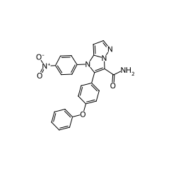 NC(=O)c1c(-c2ccc(Oc3ccccc3)cc2)n(-c2ccc([N+](=O)[O-])cc2)c2ccnn12